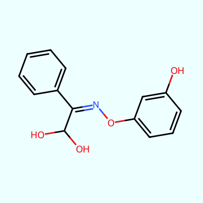 Oc1cccc(O/N=C(/c2ccccc2)C(O)O)c1